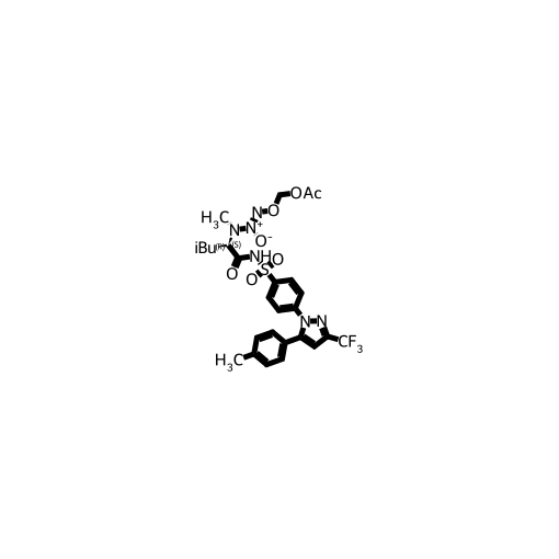 CC[C@@H](C)[C@@H](C(=O)NS(=O)(=O)c1ccc(-n2nc(C(F)(F)F)cc2-c2ccc(C)cc2)cc1)N(C)[N+]([O-])=NOCOC(C)=O